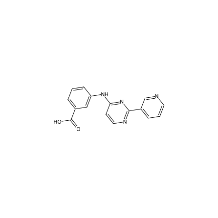 O=C(O)c1cccc(Nc2ccnc(-c3cccnc3)n2)c1